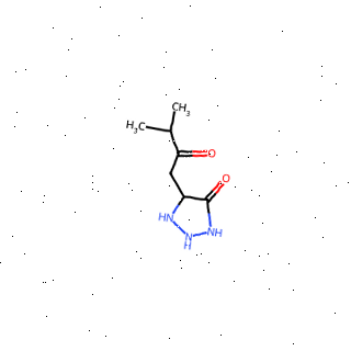 CC(C)C(=O)CC1NNNC1=O